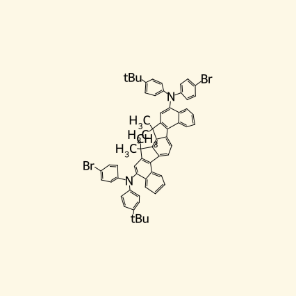 CC(C)(C)c1ccc(N(c2ccc(Br)cc2)c2cc3c(c4ccccc24)-c2ccc4c(c2C3(C)C)C(C)(C)c2cc(N(c3ccc(Br)cc3)c3ccc(C(C)(C)C)cc3)c3ccccc3c2-4)cc1